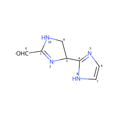 O=[C]C1=NC(c2ncc[nH]2)CN1